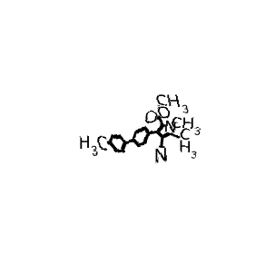 CCOC(=O)c1c(-c2ccc(-c3ccc(C)cc3)cc2)c(C#N)c(CC)n1C